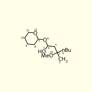 CCCCC(C)(CC(O)OC1CCCCO1)OC